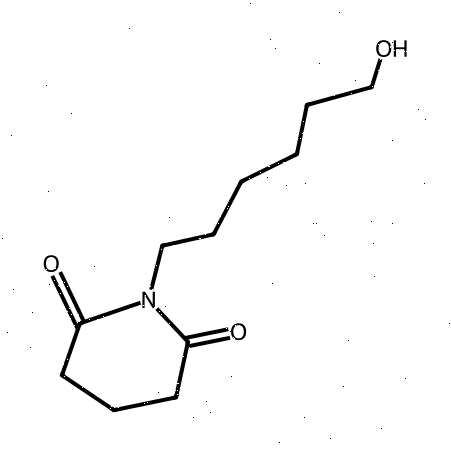 O=C1CCCC(=O)N1CCCCCCO